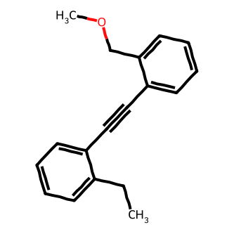 CCc1ccccc1C#Cc1ccccc1COC